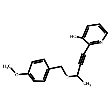 COc1ccc(COC(C)C#Cc2ncccc2O)cc1